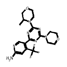 CC1COCCN1c1nc(-c2cnc(N)cc2C(F)(F)F)nc(N2CCOCC2)n1